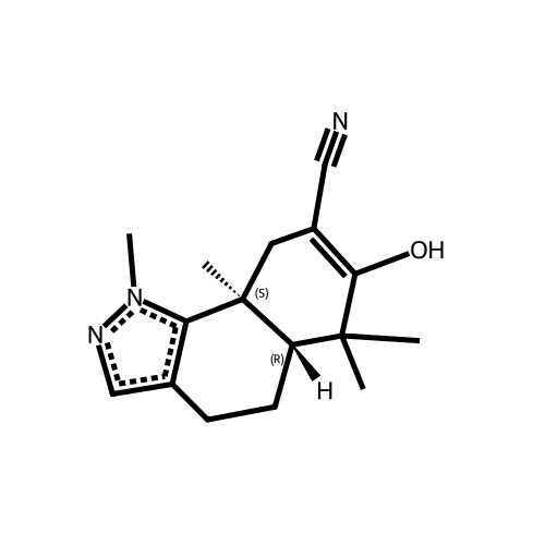 Cn1ncc2c1[C@@]1(C)CC(C#N)=C(O)C(C)(C)[C@@H]1CC2